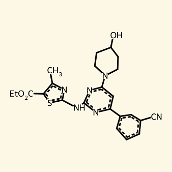 CCOC(=O)c1sc(Nc2nc(-c3cccc(C#N)c3)cc(N3CCC(O)CC3)n2)nc1C